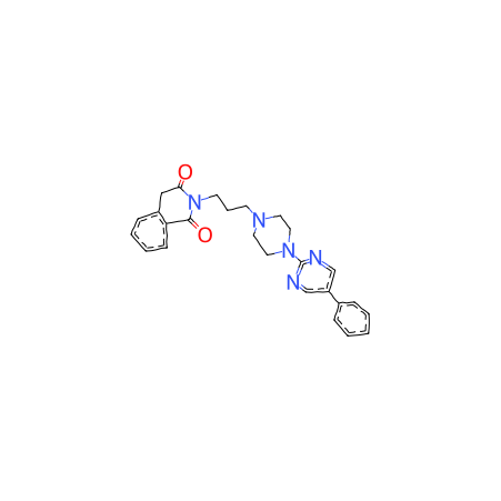 O=C1Cc2ccccc2C(=O)N1CCCN1CCN(c2ncc(-c3ccccc3)cn2)CC1